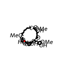 CO[C@H]1C[C@@H]2CC[C@@H](C)[C@@](O)(O2)C(=O)C(=O)N2CCCCC2C(O)O[C@H]([C@H](C)C[C@@H]2CC[C@H](O)[C@H](OC)C2)CC(=O)[C@H](C)/C=C(\C)[C@@H](O)[C@H](OC)C(=O)[C@H](C)C[C@H](C)/C=C/C=C/C=C/1C